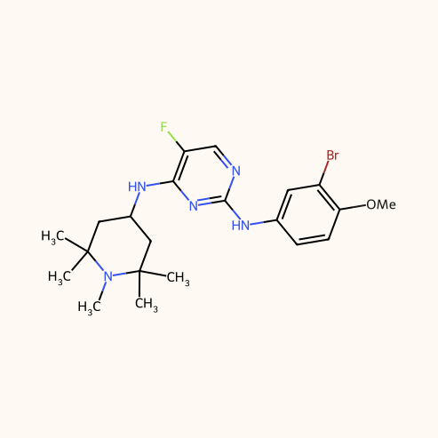 COc1ccc(Nc2ncc(F)c(NC3CC(C)(C)N(C)C(C)(C)C3)n2)cc1Br